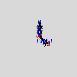 Cc1cc(NCCCC(=O)N2CCN(c3ccc(C#N)cn3)CC2)n[nH]c1=O